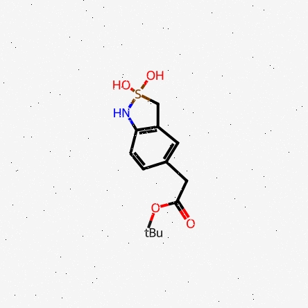 CC(C)(C)OC(=O)Cc1ccc2c(c1)CS(O)(O)N2